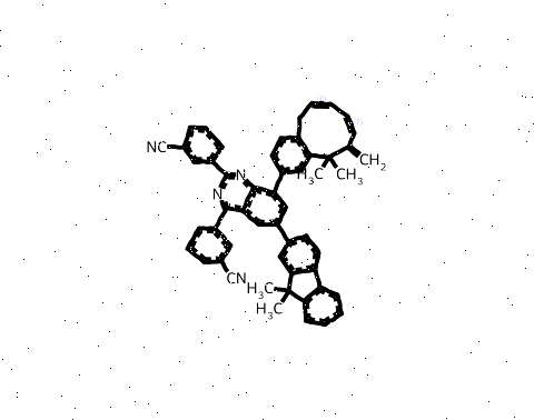 C=C1/C=C\C=C/Cc2ccc(-c3cc(-c4ccc5c(c4)C(C)(C)c4ccccc4-5)cc4c(-c5cccc(C#N)c5)nc(-c5cccc(C#N)c5)nc34)cc2C1(C)C